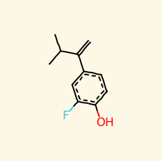 C=C(c1ccc(O)c(F)c1)C(C)C